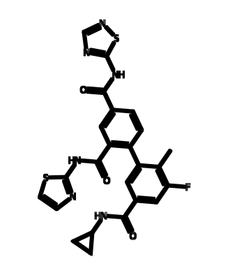 Cc1c(F)cc(C(=O)NC2CC2)cc1-c1ccc(C(=O)Nc2ncns2)cc1C(=O)Nc1nccs1